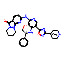 O=c1c2ccc(Nc3cc(N[C@H](CO)c4ccccc4)c(-c4nc(C56CCN(CC5)CC6)no4)cn3)nc2n2n1CCCC2